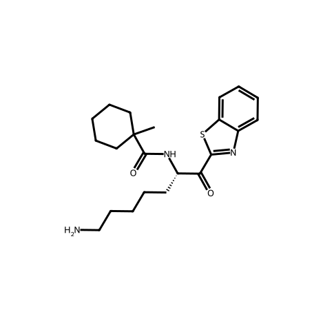 CC1(C(=O)N[C@@H](CCCCCN)C(=O)c2nc3ccccc3s2)CCCCC1